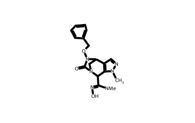 CN/C(=N\O)C1c2c(cnn2C)C2CN1C(=O)N2OCc1ccccc1